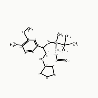 COc1cc(C(O[Si](C)(C)C(C)(C)C)[C@H](CC=O)OC2CCCC2)ccc1C